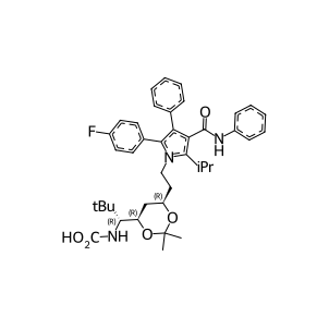 CC(C)c1c(C(=O)Nc2ccccc2)c(-c2ccccc2)c(-c2ccc(F)cc2)n1CC[C@@H]1C[C@H]([C@H](NC(=O)O)C(C)(C)C)OC(C)(C)O1